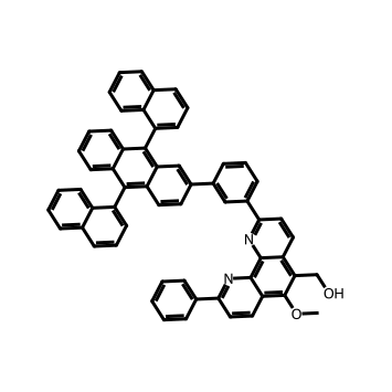 COc1c(CO)c2ccc(-c3cccc(-c4ccc5c(-c6cccc7ccccc67)c6ccccc6c(-c6cccc7ccccc67)c5c4)c3)nc2c2nc(-c3ccccc3)ccc12